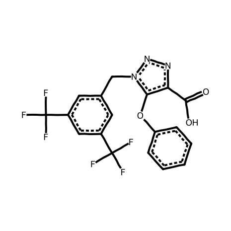 O=C(O)c1nnn(Cc2cc(C(F)(F)F)cc(C(F)(F)F)c2)c1Oc1ccccc1